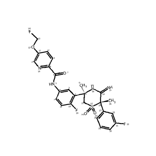 C[C@@]1(c2cc(NC(=O)c3ccc(OCF)cn3)ccc2F)CS(=O)(=O)[C@@](C)(c2cccc(F)c2)C(=N)N1